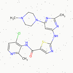 Cc1nc(Nc2ncc(C(=O)Nc3c(Cl)ccnc3C)s2)cc(N2CCN(C)CC2)n1